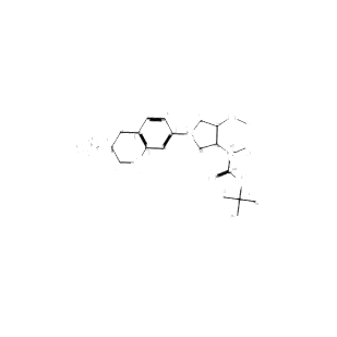 COC1CN(c2ccc3c(c2)OC[C@H](N)C3)CC1N(C)C(=O)OC(C)(C)C